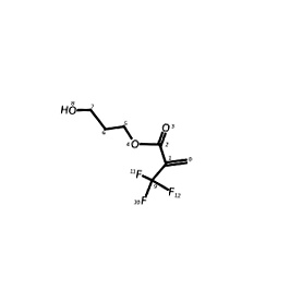 C=C(C(=O)OCCCO)C(F)(F)F